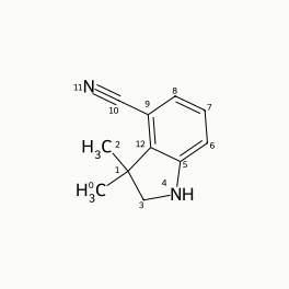 CC1(C)CNc2cccc(C#N)c21